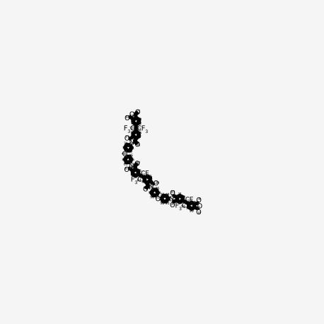 O=C1OC(=O)c2cc(C(c3ccc4c(c3)C(=O)N(c3ccc(Oc5ccc(N6C(=O)c7ccc(C(c8ccc9c(c8)C(=O)N(c8ccc(Oc%10ccc(N%11C(=O)c%12ccc(C(c%13ccc%14c(c%13)C(=O)OC%14=O)(C(F)(F)F)C(F)(F)F)cc%12C%11=O)cc%10)cc8)C9=O)(C(F)(F)F)C(F)(F)F)cc7C6=O)cc5)cc3)C4=O)(C(F)(F)F)C(F)(F)F)ccc21